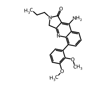 CCCN1Cc2nc3c(-c4cccc(OC)c4OC)cccc3c(N)c2C1=O